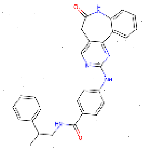 CC(CNC(=O)c1ccc(Nc2ncc3c(n2)-c2ccccc2NC(=O)C3)cc1)c1ccccc1